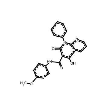 COc1ccc(NC(=O)c2c(O)c3cccnc3n(-c3ccccc3)c2=O)cn1